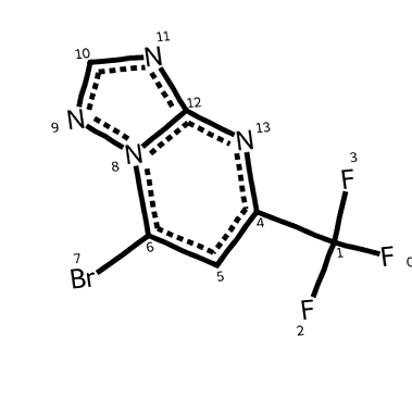 FC(F)(F)c1cc(Br)n2ncnc2n1